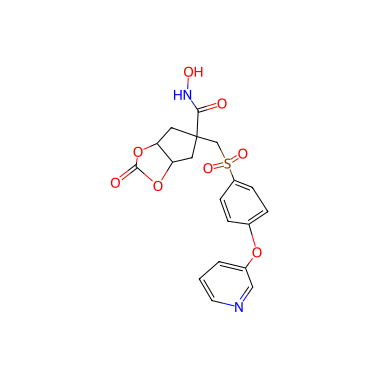 O=C1OC2CC(CS(=O)(=O)c3ccc(Oc4cccnc4)cc3)(C(=O)NO)CC2O1